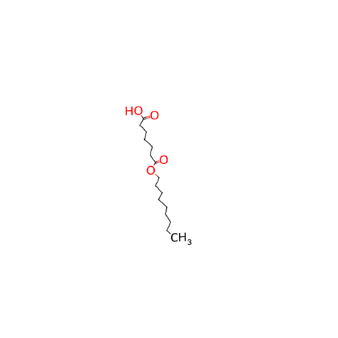 CCCCCCCCCOC(=O)CCCCCC(=O)O